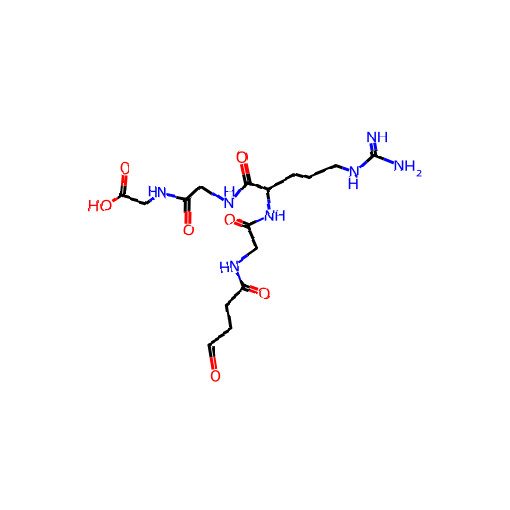 N=C(N)NCCCC(NC(=O)CNC(=O)CCC=O)C(=O)NCC(=O)NCC(=O)O